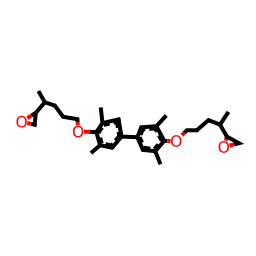 Cc1cc(-c2cc(C)c(OCCCC(C)C3CO3)c(C)c2)cc(C)c1OCCCC(C)C1CO1